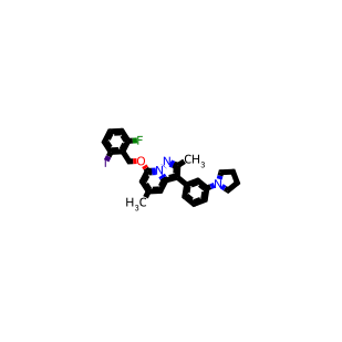 Cc1cc(OCc2c(F)cccc2I)n2nc(C)c(-c3cccc(N4CCCC4)c3)c2c1